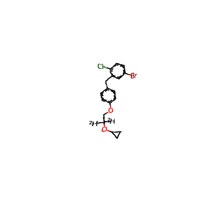 [2H]C([2H])(COc1ccc(Cc2cc(Br)ccc2Cl)cc1)OC1CC1